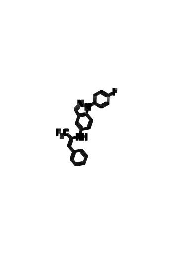 Fc1ccc(-n2ncc3cc(N/C(=C\c4ccccc4)C(F)(F)F)ccc32)cc1